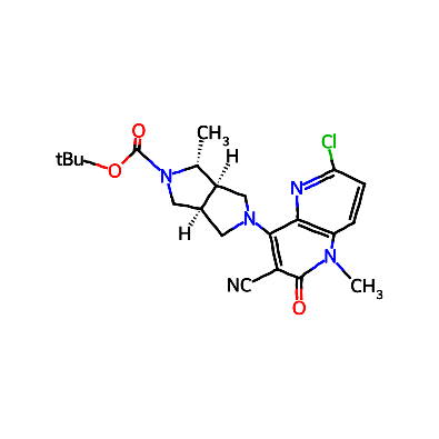 C[C@@H]1[C@H]2CN(c3c(C#N)c(=O)n(C)c4ccc(Cl)nc34)C[C@H]2CN1C(=O)OC(C)(C)C